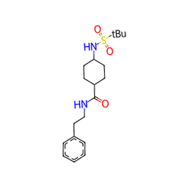 CC(C)(C)S(=O)(=O)NC1CCC(C(=O)NCCc2ccccc2)CC1